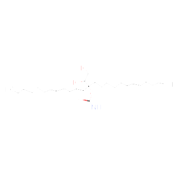 CCCCCCCCCCCCC(CCCCCCCCCCCC)(OC(N)=O)C(O)CO